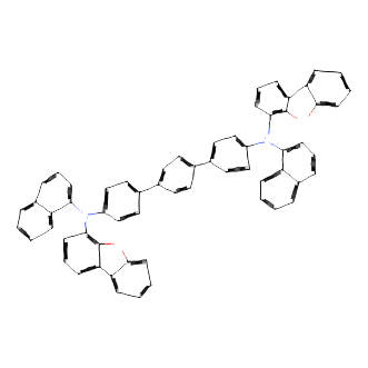 c1ccc2c(N(c3ccc(-c4ccc(-c5ccc(N(c6cccc7ccccc67)c6cccc7c6oc6ccccc67)cc5)cc4)cc3)c3cccc4c3oc3ccccc34)cccc2c1